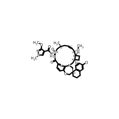 COc1nn(C)cc1C(=O)N[S@@]1(=O)=NC(=O)c2ccc3c(n2)N(C[C@@H]2CC[C@H]2[C@@H](OC)/C=C\C[C@H](C)C1)C[C@@]1(CCCc2cc(Cl)ccc21)CO3